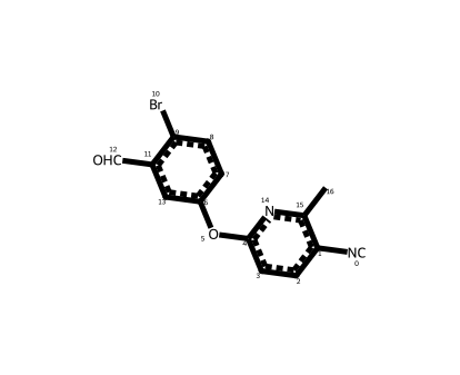 [C-]#[N+]c1ccc(Oc2ccc(Br)c(C=O)c2)nc1C